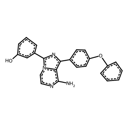 Nc1nccn2c(-c3cccc(O)c3)nc(-c3ccc(Oc4ccccc4)cc3)c12